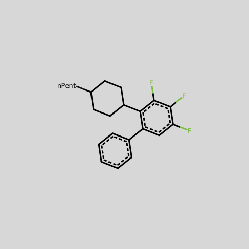 CCCCCC1CCC(c2c(-c3ccccc3)cc(F)c(F)c2F)CC1